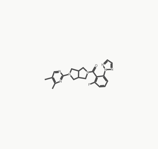 Cc1cnc(N2CC3CN(C(=O)c4c(F)cccc4-n4nccn4)CC3C2)nc1C